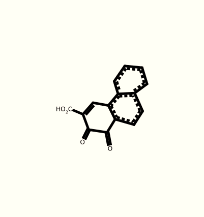 O=C(O)C1=Cc2c(ccc3ccccc23)C(=O)C1=O